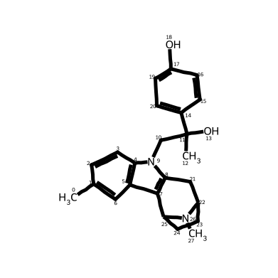 Cc1ccc2c(c1)c1c(n2CC(C)(O)c2ccc(O)cc2)CC2CCC1N2C